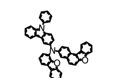 c1ccc(-n2c3ccccc3c3cc(N(c4ccc5c(ccc6oc7ccccc7c65)c4)c4cccc5c4oc4ccccc45)ccc32)cc1